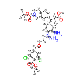 COC(=O)C(C)(C)C(c1ccc2c(c1)CN(C(=O)OC(C)(C)C)CC2)c1ccc(N(N)CCCOCc2cc(Cl)c(C(=O)OC(C)(C)C)c(Cl)c2)c(N)c1C